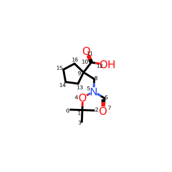 CC(C)(C)ON(C=O)CC1(C(=O)O)CCCC1